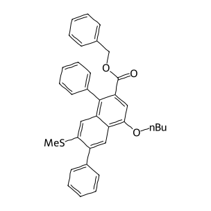 CCCCOc1cc(C(=O)OCc2ccccc2)c(-c2ccccc2)c2cc(SC)c(-c3ccccc3)cc12